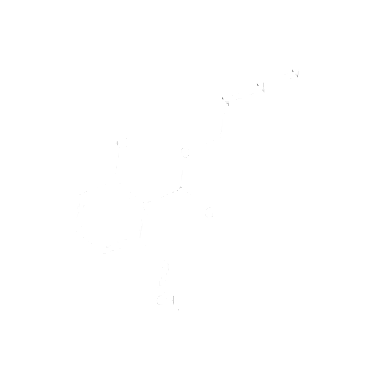 C=Cc1cccc(Cl)c1C(=O)OCN=[N+]=[N-]